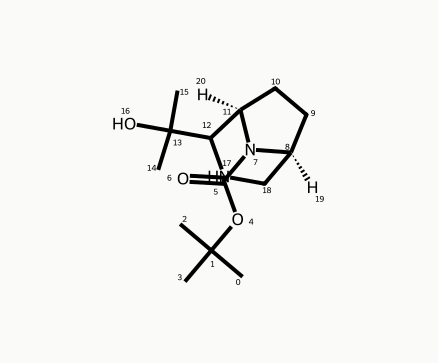 CC(C)(C)OC(=O)N1[C@H]2CC[C@@H]1C(C(C)(C)O)NC2